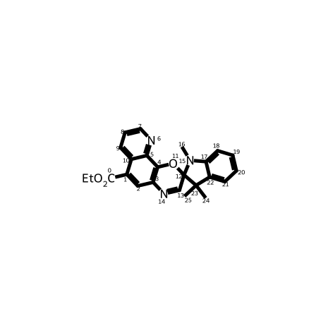 CCOC(=O)c1cc2c(c3ncccc13)OC1(C=N2)N(C)c2ccccc2C1(C)C